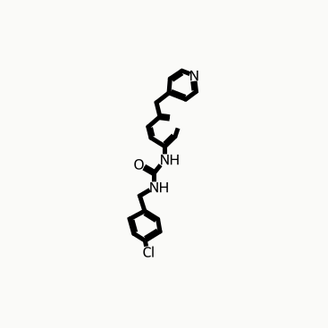 C=C(/C=C\C(=C/C)NC(=O)NCc1ccc(Cl)cc1)Cc1ccncc1